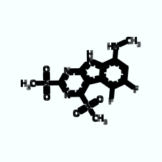 CNc1cc(F)c(F)c2c1[nH]c1nc(S(C)(=O)=O)nc(S(C)(=O)=O)c12